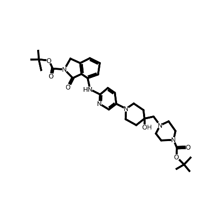 CC(C)(C)OC(=O)N1CCN(CC2(O)CCN(c3ccc(Nc4cccc5c4C(=O)N(C(=O)OC(C)(C)C)C5)nc3)CC2)CC1